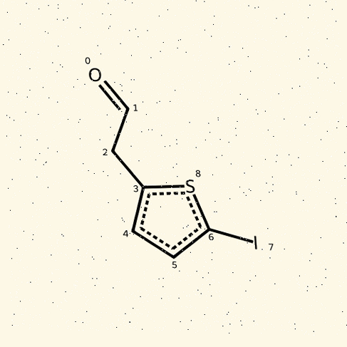 O=CCc1ccc(I)s1